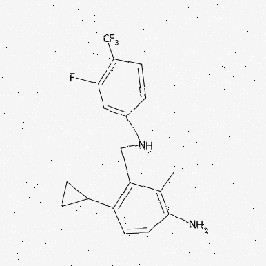 Cc1c(N)ccc(C2CC2)c1CNc1ccc(C(F)(F)F)c(F)c1